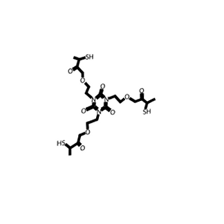 CC(S)C(=O)COCCn1c(=O)n(CCOCC(=O)C(C)S)c(=O)n(CCOCC(=O)C(C)S)c1=O